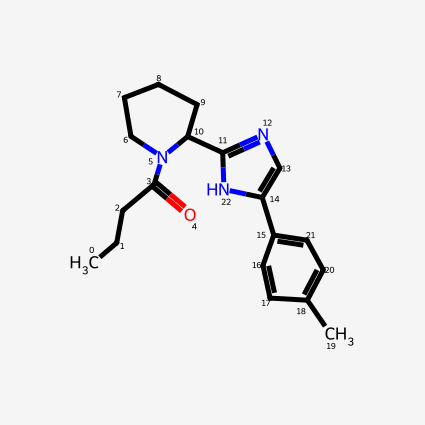 CCCC(=O)N1CCCCC1c1ncc(-c2ccc(C)cc2)[nH]1